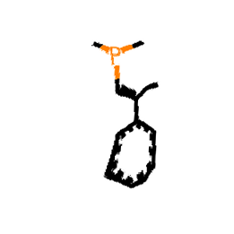 CC(=CP(C)C)c1ccccc1